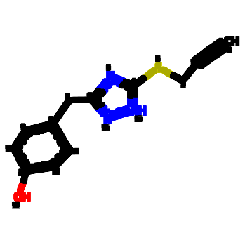 C#CCSc1nc(Cc2ccc(O)cc2)n[nH]1